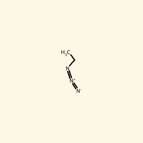 CCN=[N+]=[N-]